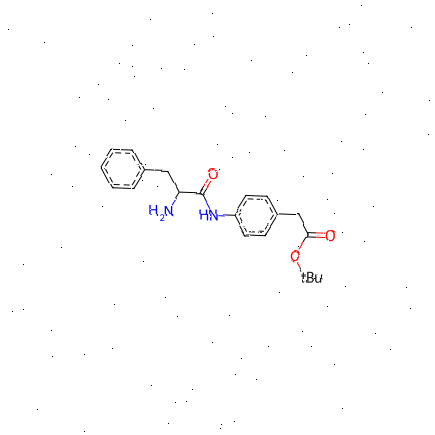 CC(C)(C)OC(=O)Cc1ccc(NC(=O)C(N)Cc2ccccc2)cc1